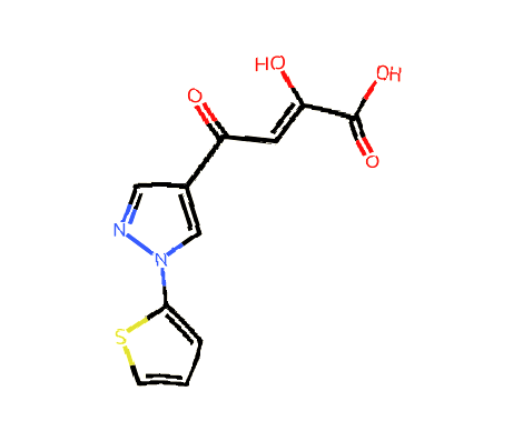 O=C(O)C(O)=CC(=O)c1cnn(-c2cccs2)c1